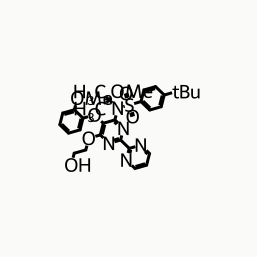 COc1ccccc1Oc1c(OCCO)nc(-c2ncccn2)nc1N(C(C)(C)OC)S(=O)(=O)c1ccc(C(C)(C)C)cc1